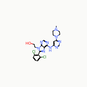 CN1CCN(c2cc(Nc3ncnc4c3nc(-c3c(Cl)cccc3Cl)n4CCO)ncn2)CC1